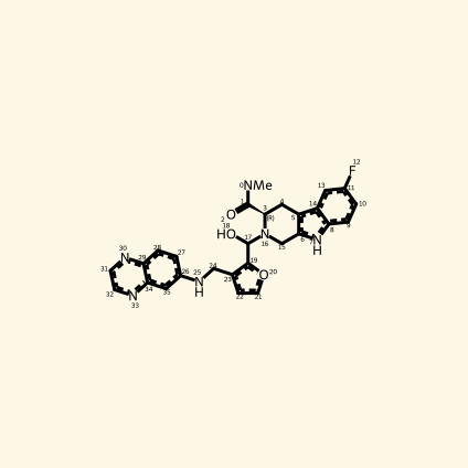 CNC(=O)[C@H]1Cc2c([nH]c3ccc(F)cc23)CN1C(O)c1occc1CNc1ccc2nccnc2c1